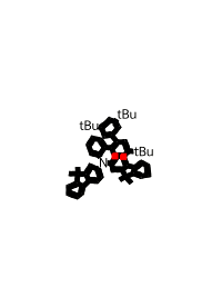 CC(C)(C)c1cc(-c2cc(C(C)(C)C)ccc2-c2ccccc2N(c2ccc3c(c2)C(C)(C)c2ccccc2-3)c2ccc3c(c2)C(C)(C)c2ccccc2-3)cc(C(C)(C)C)c1